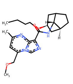 CCCCO[C@H]1CC2CC[C@@H](C1)[C@@H]2NC(=O)c1ncn2c(COC)cc(C)nc12